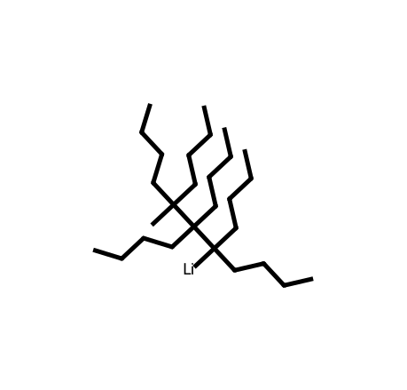 [Li][C](CCCC)(CCCC)C(CCCC)(CCCC)C(C)(CCCC)CCCC